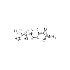 CN(C)S(=O)(=O)N1CCN(C(=O)C(N)=O)CC1